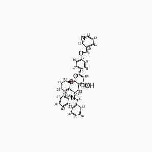 O=c1oc(-c2ccc(OCc3cccnc3)cc2)cc(O)c1CC(c1ccccc1)N(Cc1ccccc1)c1ccccc1